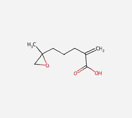 C=C(CCCC1(C)CO1)C(=O)O